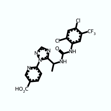 CC(NC(=O)Nc1cc(C(F)(F)F)c(Cl)cc1Cl)c1ncnn1-c1ccc(C(=O)O)cn1